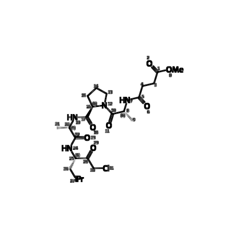 COC(=O)CCC(=O)N[C@H](C)C(=O)N1CCC[C@@H]1C(=O)N[C@@H](C)C(=O)N[C@@H](CC(C)C)C(=O)CCl